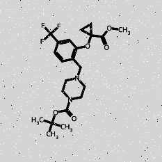 COC(=O)C1(Oc2cc(C(F)(F)F)ccc2CN2CCN(C(=O)OC(C)(C)C)CC2)CC1